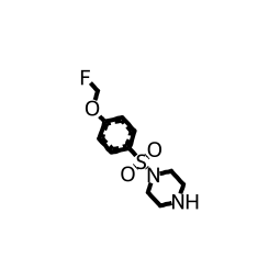 O=S(=O)(c1ccc(OCF)cc1)N1CCNCC1